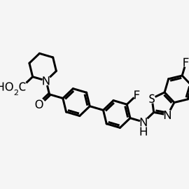 O=C(O)C1CCCCN1C(=O)c1ccc(-c2ccc(Nc3nc4ccc(F)cc4s3)c(F)c2)cc1